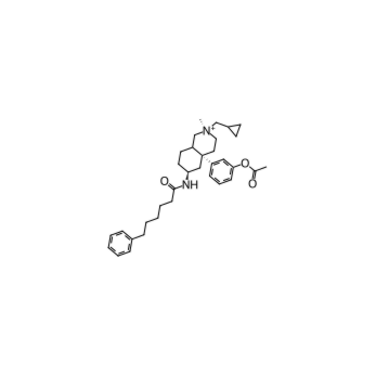 CC(=O)Oc1cccc([C@@]23CC[N@+](C)(CC4CC4)CC2CC[C@H](NC(=O)CCCCCc2ccccc2)C3)c1